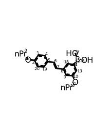 CCCOc1ccc(/C=C/c2cc(OCCC)cc(B(O)O)c2)cc1